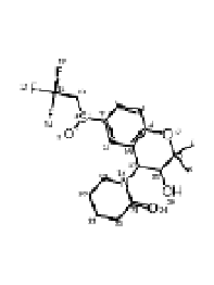 CC1(C)Oc2ccc([S+]([O-])CC(F)(F)F)cc2C(N2CCCCC2=O)C1O